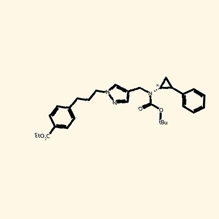 CCOC(=O)c1ccc(CCCn2cc(CN(C(=O)OC(C)(C)C)[C@@H]3CC3c3ccccc3)cn2)cc1